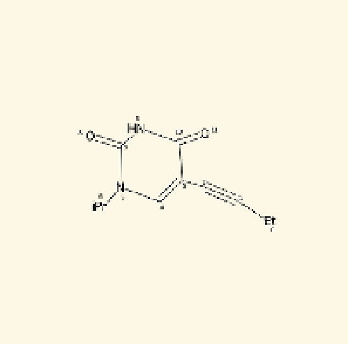 CCC#Cc1cn(C(C)C)c(=O)[nH]c1=O